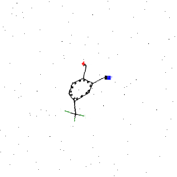 N#Cc1cc(C(F)(F)F)ccc1C=O